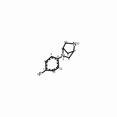 Fc1ccc(N2CC3CC2C[N]3)cc1